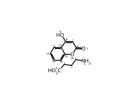 NCCCC(=O)O.O=c1cc(O)c2ccccc2o1